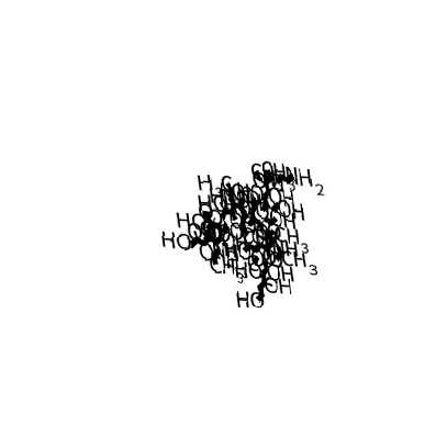 COC(O[C@H](CCO)C(O)C(O)[C@@H](OC)N(C)OCCN)C(O)C(O[C@]1(C(=O)O)CC(O)C(NC(C)=O)C([C@H](O)[C@@H](CO)O[C@]2(C(=O)O)CC(O)[C@@H](NC(C)=O)C(C[C@H](O)CO)O2)O1)[C@H](CCO)O[C@H](OC)C(NC(C)=O)C(O[C@H](OC)C(O)C(O)[C@@H](O)CCO)[C@@H](O)CCO